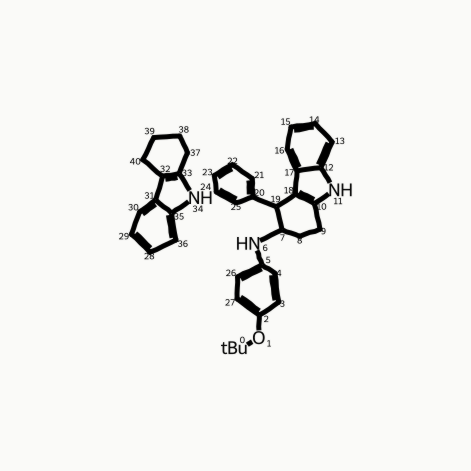 CC(C)(C)Oc1ccc(NC2CCc3[nH]c4ccccc4c3C2c2ccccc2)cc1.c1ccc2c3c([nH]c2c1)CCCC3